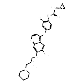 [C-]#[N+]c1cc2c(Oc3ccc(NC(=O)NC4CC4)c(Cl)c3)ccnc2cc1OC[C@H](O)CN1CCCCC1